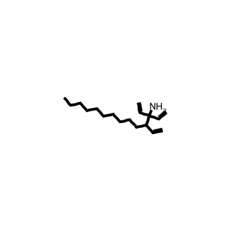 C=CC(CCCCCCCCCC)C(N)(C=C)C=C